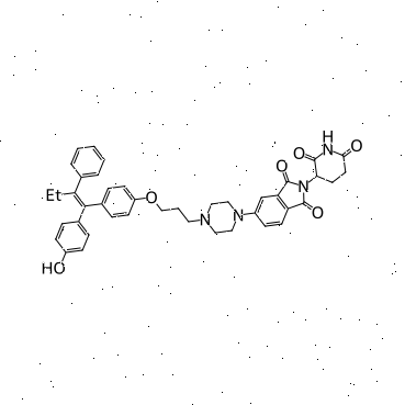 CCC(=C(c1ccc(O)cc1)c1ccc(OCCCN2CCN(c3ccc4c(c3)C(=O)N(C3CCC(=O)NC3=O)C4=O)CC2)cc1)c1ccccc1